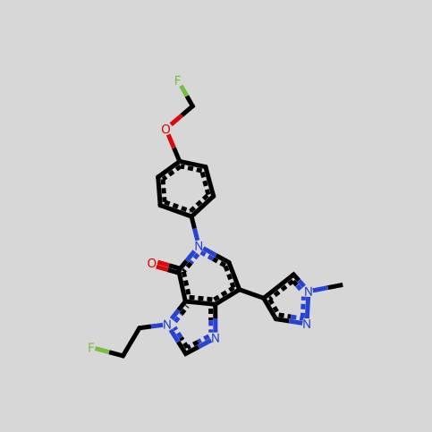 Cn1cc(-c2cn(-c3ccc(OCF)cc3)c(=O)c3c2ncn3CCF)cn1